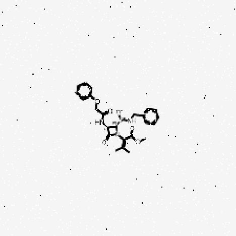 COC(=O)C(=C(C)C)N1C(=O)[C@@H](NC(=O)COc2ccccc2)[C@H]1[S+]([O-])NCc1ccccc1